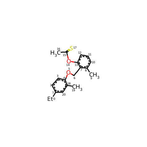 CCc1ccc(OCc2c(C)cccc2OC(C)=S)c(C)c1